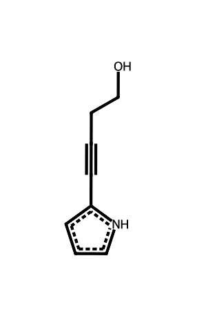 OCCC#Cc1ccc[nH]1